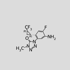 Cn1nnn(-c2cc(N)c(F)cc2[C@@H]2C[C@H]2C(F)(F)F)c1=O